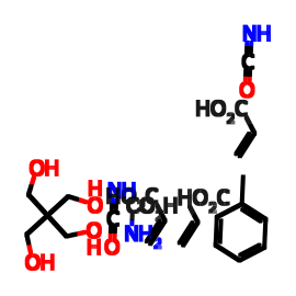 C=CC(=O)O.C=CC(=O)O.C=CC(=O)O.Cc1ccccc1.N=C=O.N=C=O.NC(=O)O.OCC(CO)(CO)CO